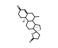 CC1CC2=CC(=O)CC[C@@H]2C2CC[C@@]3(C)C(CC[C@@]34CCC(=O)O4)C12